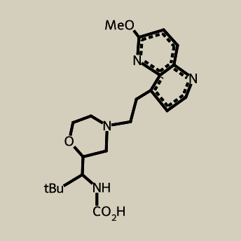 COc1ccc2nccc(CCN3CCOC(C(NC(=O)O)C(C)(C)C)C3)c2n1